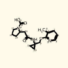 Cc1cccnc1OCC1(NC(=O)CC2CCCN2C(=O)O)CC1